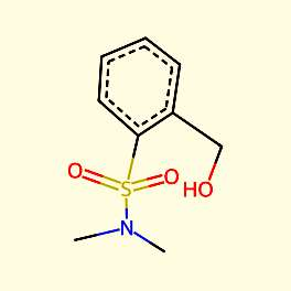 CN(C)S(=O)(=O)c1ccccc1CO